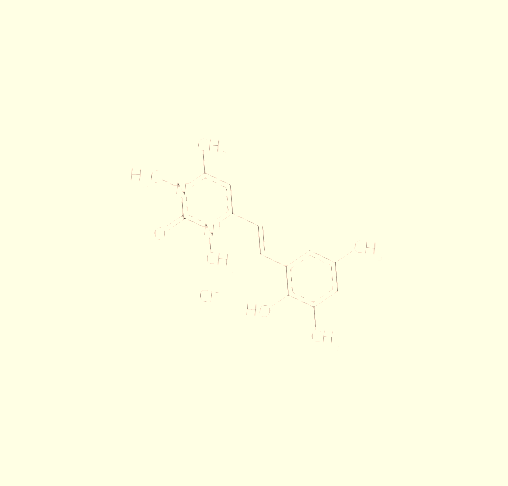 Cc1cc(C)c(O)c(C=Cc2cc(C)n(C)c(=O)[n+]2C)c1.[Cl-]